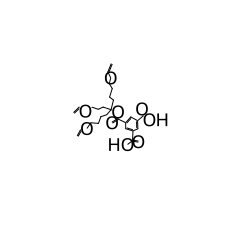 C=COCCCCC(CCCCOC=C)(CCCOC=C)OC(=O)c1cc(C(=O)O)cc(C(=O)O)c1